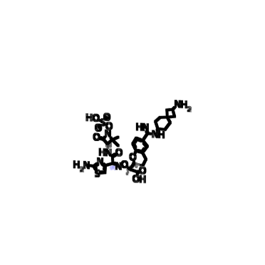 CC1(C)[C@H](NC(=O)/C(=N\O[C@](C)(C(=O)O)[C@H]2CCc3cc(C(=N)NC4CCC5(CC4)CC(N)C5)ccc3O2)c2csc(N)n2)C(=O)N1OS(=O)(=O)O